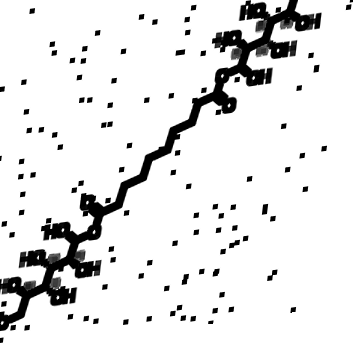 O=C(CCCCCCCCC(=O)OC(O)[C@@H](O)[C@@H](O)[C@H](O)[C@H](O)CO)OC(O)[C@@H](O)[C@@H](O)[C@H](O)[C@H](O)CO